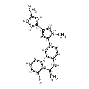 C=C(Nc1ccc(-c2cc(-c3noc(C)n3)nn2C)cc1)c1ccncc1F